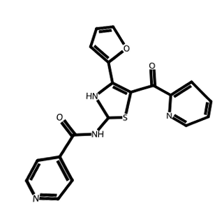 O=C(NC1NC(c2ccco2)=C(C(=O)c2ccccn2)S1)c1ccncc1